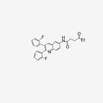 CCC(=O)CCC(=O)Nc1ccc2nc(-c3ccccc3F)c(-c3ccccc3F)cc2c1